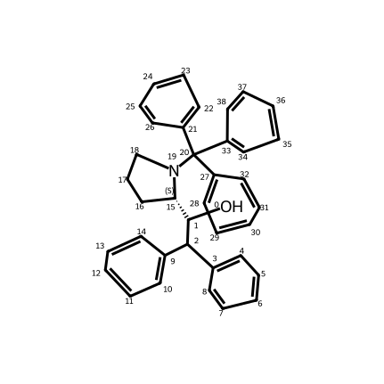 OC(C(c1ccccc1)c1ccccc1)[C@@H]1CCCN1C(c1ccccc1)(c1ccccc1)c1ccccc1